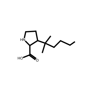 CCCCC(C)(C)C1CCNC1C(=O)O